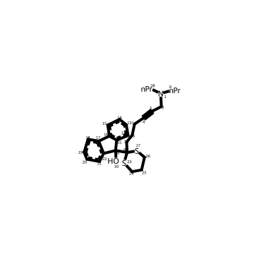 CCCN(CC#CCCCC1(C2(O)c3ccccc3-c3ccccc32)SCCCS1)CCC